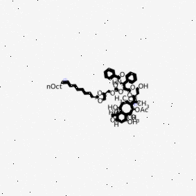 CCCCCCCC/C=C\CCCCCCC[C@@H]1OC[C@H](COC(=O)O[C@@H](C(=O)O[C@@H](CCO)/C(C)=C2/[C@@H](OC(C)=O)C(=O)[C@@]3(C)[C@H]([C@H](O)CC2(C)C)[C@]2(O)CO[C@@H]2C[C@@H]3O)[C@@H](NC(=O)c2ccccc2)c2ccccc2)O1